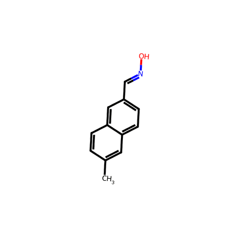 Cc1ccc2cc(C=NO)ccc2c1